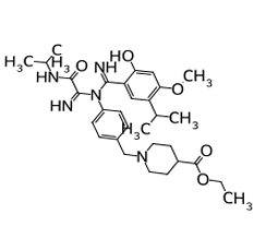 CCOC(=O)C1CCN(Cc2ccc(N(C(=N)C(=O)NC(C)C)C(=N)c3cc(C(C)C)c(OC)cc3O)cc2)CC1